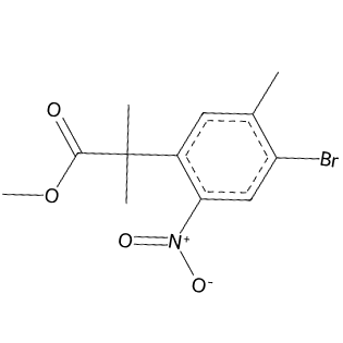 COC(=O)C(C)(C)c1cc(C)c(Br)cc1[N+](=O)[O-]